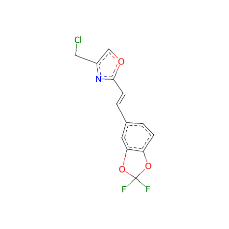 FC1(F)Oc2ccc(C=Cc3nc(CCl)co3)cc2O1